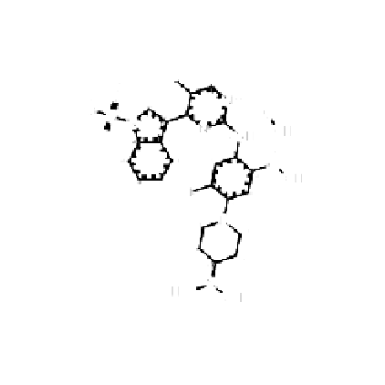 CC.COc1cc(N2CCC(N(C)C)CC2)c(Cl)cc1Nc1ncc(Cl)c(-c2cn(S(=O)(=O)O)c3ccccc23)n1